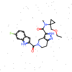 CCOCC1(N(C)C(=O)c2[nH]nc3c2CN(C(=O)c2cc4ccc(F)cc4[nH]2)CC3)CC1